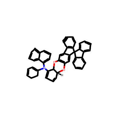 c1ccc2c(c#1)-c1cc3c(cc1C21c2ccccc2-c2ccccc21)O[C@@H]1C=CC=C(N(C2=CC=CCC2)c2cccc4ccccc24)C1O3